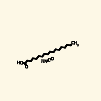 CCCCCCCCCCCCCCCCCC(=O)O.N=C=O